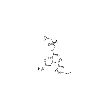 CCc1noc(C(=O)C(CC(N)=O)NC(=O)[CH]CS(=O)(=O)CC2CC2)n1